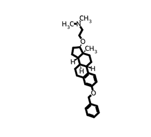 CN(C)CCO[C@H]1CC[C@H]2[C@@H]3CCc4cc(OCc5ccccc5)ccc4[C@H]3CC[C@]12C